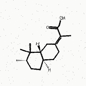 CC(C(=O)O)=C1CC[C@H]2CC[C@H](C)C(C)(C)[C@@H]2C1